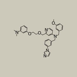 COc1cccc(CN(Cc2cccc(-n3ccnc3)c2)c2ccnc(COCCOc3cccc(N(C)C)c3)c2)c1